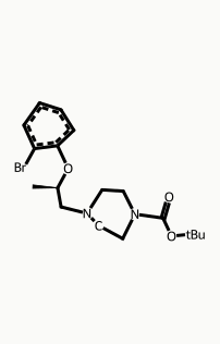 C[C@H](CN1CCN(C(=O)OC(C)(C)C)CC1)Oc1ccccc1Br